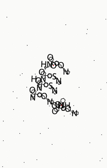 CN(C)CC1(c2ccc(OCCCN3CCC(O)C3)cc2)CCOCC1.CN(C)CC1(c2ccc(SCCN3CCCC3)cc2)CCOCC1.NCC1(c2ccc(SCCN3CCCC3)cc2)CCOCC1.O=C(NC1CCCCC1)C1(c2ccc(OCCCN3CCCC3)cc2)CCOCC1.O=C(NCC1CC1)C1(c2ccc(OCCCN3CCCC3)cc2)CCOCC1